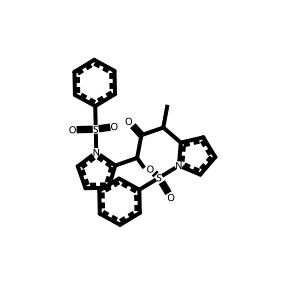 CC(C(=O)C(C)c1cccn1S(=O)(=O)c1ccccc1)c1cccn1S(=O)(=O)c1ccccc1